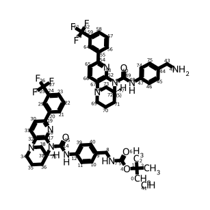 CC(C)(C)OC(=O)NCc1ccc(NC(=O)N2c3nc(-c4cccc(C(F)(F)F)c4)ccc3N3CCC[C@H]2C3)cc1.Cl.NCc1ccc(NC(=O)N2c3nc(-c4cccc(C(F)(F)F)c4)ccc3N3CCC[C@H]2C3)cc1